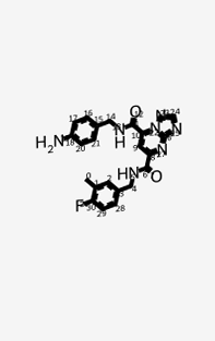 Cc1cc(CNC(=O)c2cc(C(=O)NCc3ccc(N)cc3)n3ncnc3n2)ccc1F